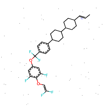 C/C=C/C1CCC(C2CCC(c3ccc(C(F)(F)Oc4cc(F)c(OC=C(F)F)c(F)c4)cc3)CC2)CC1